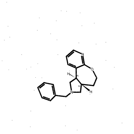 c1ccc(CN2C[C@H]3CCOc4ncccc4[C@@H]3C2)cc1